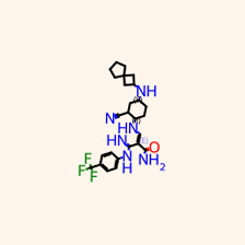 N#CC1C[C@@H](NC2CC3(CCCC3)C2)CC[C@H]1N/C=C(\C(=N)Nc1ccc(C(F)(F)F)cc1)C(N)=O